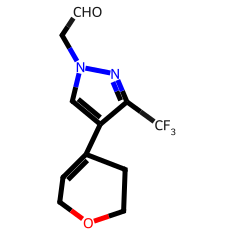 O=CCn1cc(C2=CCOCC2)c(C(F)(F)F)n1